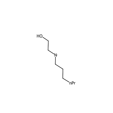 CCCCCC[N]CCO